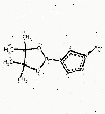 CC[C@H](C)n1cc(B2OC(C)(C)C(C)(C)O2)cn1